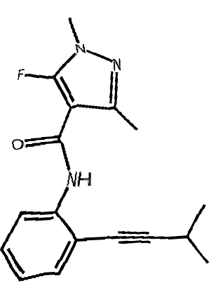 Cc1nn(C)c(F)c1C(=O)Nc1ccccc1C#CC(C)C